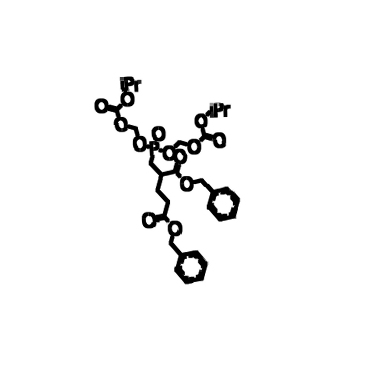 CC(C)OC(=O)OCOP(=O)(CC(CCC(=O)OCc1ccccc1)C(=O)OCc1ccccc1)OCOC(=O)OC(C)C